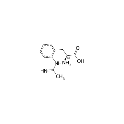 CC(=N)Nc1ccccc1C[C@H](N)C(=O)O